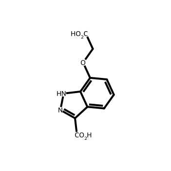 O=C(O)COc1cccc2c(C(=O)O)n[nH]c12